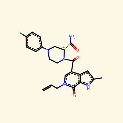 C=CCn1cc(C(=O)N2CCN(c3ccc(F)cc3)C[C@@H]2C(N)=O)c2cc(C)[nH]c2c1=O